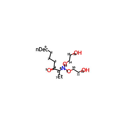 CCCCCCCCCCCCCC(=O)C(CC)N(OCCO)OCCO